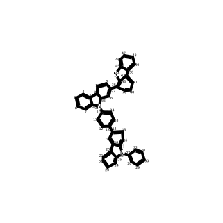 C1=CC2c3ccccc3N(c3ccc(-c4ccc5c(c4)c4ccccc4n5-c4ccccc4)cc3)C2C=C1c1cccc2c1sc1ccccc12